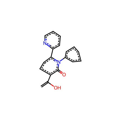 C=C(O)c1ccc(-c2ccccn2)n(-c2ccccc2)c1=O